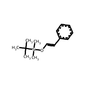 CC(C)(C)[Si](C)(C)OC=Cc1ccccc1